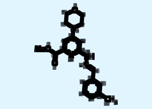 COC(=O)c1cc(N2CCOCC2)cc(N/N=C/c2cccc(C)c2)n1